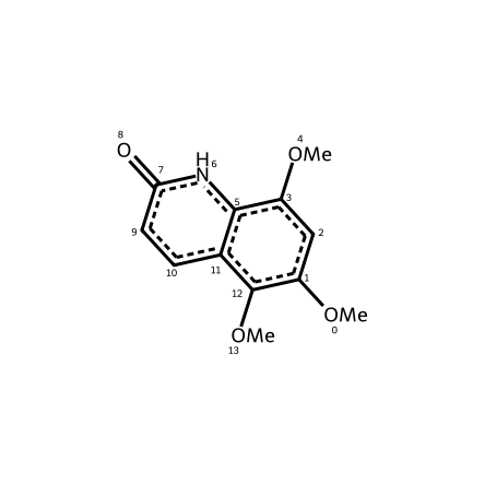 COc1cc(OC)c2[nH]c(=O)ccc2c1OC